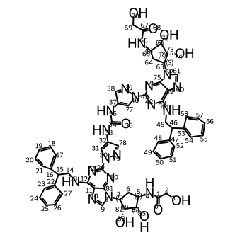 O=C(CO)N[C@@H]1C[C@H](n2cnc3c(NCC(c4ccccc4)c4ccccc4)nc(-n4cc(NC(=O)Nc5cnn(-c6nc(NCC(c7ccccc7)c7ccccc7)c7ncn([C@H]8C[C@@H](NC(=O)CO)[C@H](O)[C@@H]8O)c7n6)c5)cn4)nc32)[C@@H](O)[C@H]1O